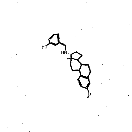 COc1ccc2c(c1)CCC1C2CC[C@@]2(C)C1CC[C@H]2NCc1cccc(O)c1